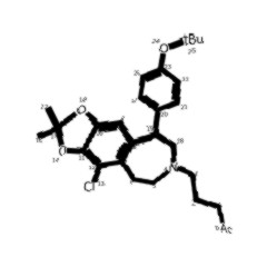 CC(=O)CCCN1CCc2c(cc3c(c2Cl)OC(C)(C)O3)C(c2ccc(OC(C)(C)C)cc2)C1